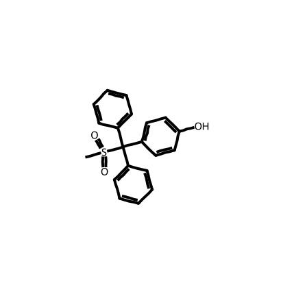 CS(=O)(=O)C(c1ccccc1)(c1ccccc1)c1ccc(O)cc1